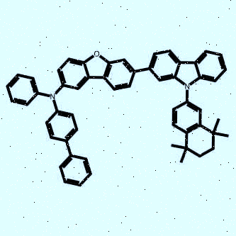 CC1(C)CCC(C)(C)c2cc(-n3c4ccccc4c4ccc(-c5ccc6c(c5)oc5ccc(N(c7ccccc7)c7ccc(-c8ccccc8)cc7)cc56)cc43)ccc21